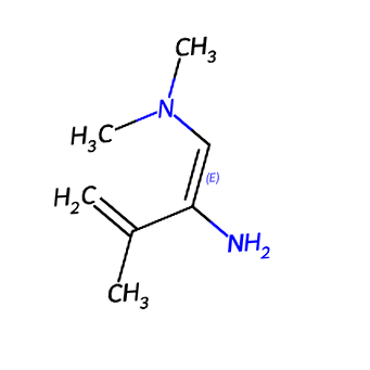 C=C(C)/C(N)=C\N(C)C